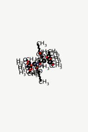 CCCCCCNC(=O)CCC(=O)NC1=CC(=[N+]2c3ccc(C(C)(C)C)cc3C(C)(C)c3cc(C(C)(C)C)ccc32)C=C/C1=C1\C(=O)C(c2ccc(N3c4ccc(C(C)(C)C)cc4C(C)(C)c4cc(C(C)(C)C)ccc43)cc2NC(=O)CCC(=O)NCCCCCC)=C1[O-]